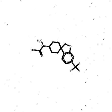 C[C@H](C(=O)O)C1CCC2(CC1)COc1cc(C(F)(F)F)ccc12